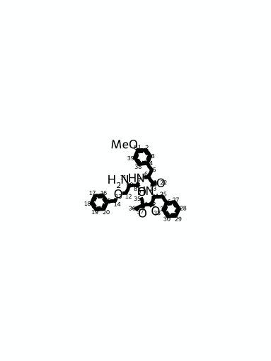 COc1ccc(CC(NC(=O)C(N)COCc2ccccc2)C(=O)NC(Cc2ccccc2)C(=O)C2(C)CO2)cc1